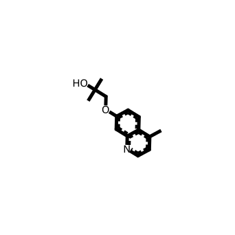 Cc1ccnc2cc(OCC(C)(C)O)ccc12